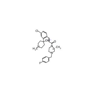 C[C@@H]1CN(Cc2ccc(F)cc2)CCN1C(=O)/C=C/c1ccc(Cl)cc1C1(O)CCN(C)CC1